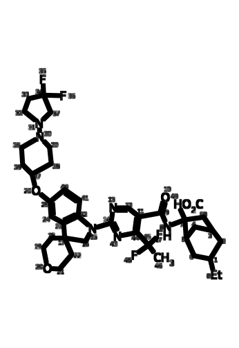 CCC1CC2CC(C1)C(NC(=O)c1cnc(N3CC4(CCOCC4)c4cc(OC5CCN(N6CCC(F)(F)C6)CC5)ccc43)nc1C(C)(F)F)(C(=O)O)C2